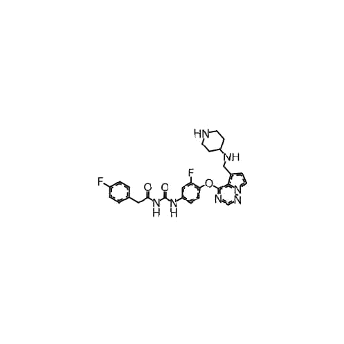 O=C(Cc1ccc(F)cc1)NC(=O)Nc1ccc(Oc2ncnn3ccc(CNC4CCNCC4)c23)c(F)c1